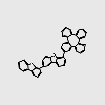 c1ccc2c(c1)-c1ccccc1-c1ccc(-c3cccc4c3oc3ccc(-c5cccc6c5sc5ccccc56)cc34)cc1-c1ccccc1-2